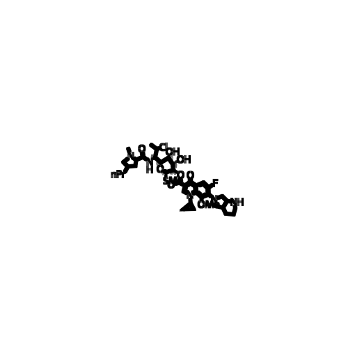 CCCC1CC(C(=O)N[C@H](C(C)Cl)[C@H]2O[C@H](SC)[C@H](OC(=O)c3cn(C4CC4)c4c(OC)c(N5CC6CCCNC6C5)c(F)cc4c3=O)[C@@H](O)[C@H]2O)N(C)C1